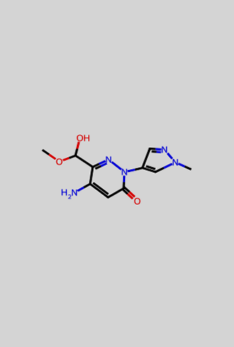 COC(O)c1nn(-c2cnn(C)c2)c(=O)cc1N